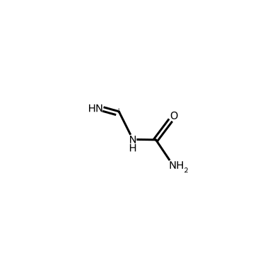 N=[C]NC(N)=O